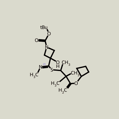 C=C(OC1CCC1)C(C)(C)C(C)S/C(=N\C)C1(O)CN(C(=O)OC(C)(C)C)C1